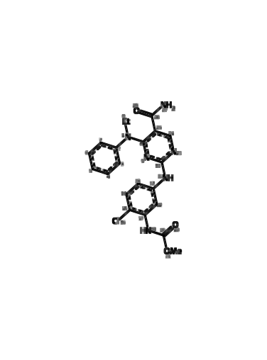 CCN(c1ccccc1)c1nc(Nc2ccc(Cl)c(NC(=O)OC)c2)ncc1C(N)=O